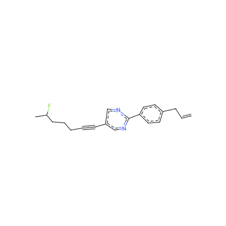 C=CCc1ccc(-c2ncc(C#CCCCC(C)F)cn2)cc1